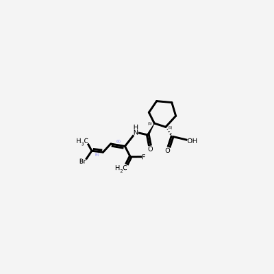 C=C(F)/C(=C\C=C(/C)Br)NC(=O)[C@H]1CCCC[C@@H]1C(=O)O